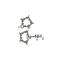 Nn1cccc1.c1ccoc1